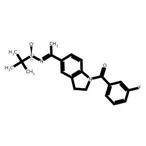 CC(=N[S@+]([O-])C(C)(C)C)c1ccc2c(c1)CCN2C(=O)c1cccc(F)c1